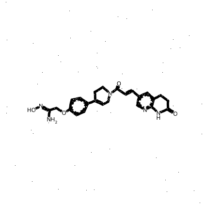 N/C(COc1ccc(C2=CCN(C(=O)/C=C/c3cnc4c(c3)CCC(=O)N4)CC2)cc1)=N\O